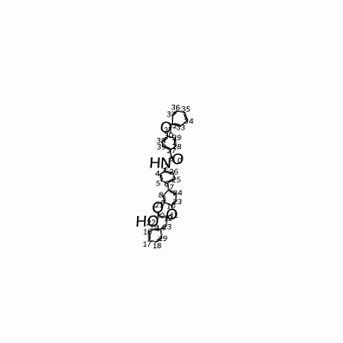 O=C(Nc1ccc(-c2ccc(OC(Cc3ccccc3)C(=O)O)cc2)cc1)c1ccc(Oc2ccccc2)cc1